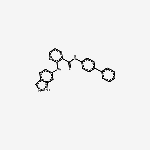 O=C(Nc1ccc(-c2ccccc2)cc1)c1cccnc1Nc1ccc2cn[nH]c2c1